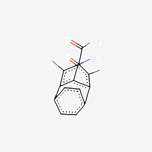 NC(=O)c1c(Cl)c2c(C(N)=O)c(c1Cl)-c1ccc-2cc1